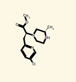 COC(=O)[C@H](Cc1ccc(Cl)cn1)N1CCN[C@@H](C)C1